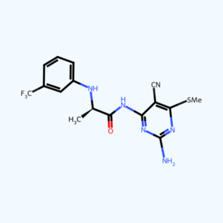 CSc1nc(N)nc(NC(=O)[C@@H](C)Nc2cccc(C(F)(F)F)c2)c1C#N